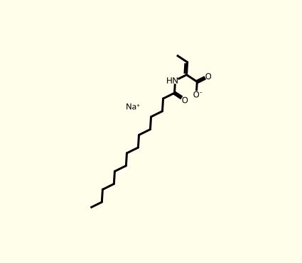 CC=C(NC(=O)CCCCCCCCCCCCC)C(=O)[O-].[Na+]